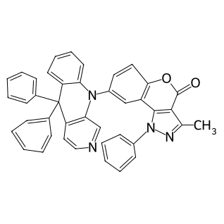 Cc1nn(-c2ccccc2)c2c1c(=O)oc1ccc(N3c4ccccc4C(c4ccccc4)(c4ccccc4)c4ccncc43)cc12